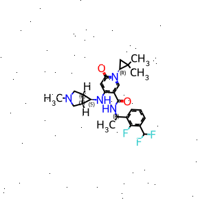 C[C@@H](NC(=O)c1cn([C@@H]2CC2(C)C)c(=O)cc1N[C@H]1[C@@H]2CN(C)C[C@@H]21)c1cccc(C(F)F)c1F